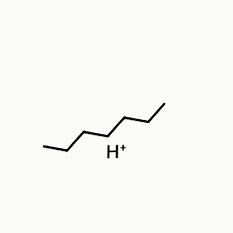 CCCCCCC.[H+]